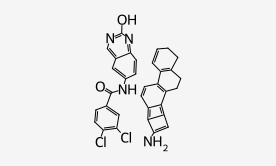 Nc1cc2c3c4c(ccc3c1-2)C1=C(CCC=C1)CC4.O=C(Nc1ccc2nc(O)ncc2c1)c1ccc(Cl)c(Cl)c1